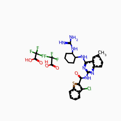 Cc1ccc2nc(NC(=O)c3sc4ccccc4c3Cl)nc(NC3CCCCC3NC(=N)N)c2c1.O=C(O)C(F)(F)F.O=C(O)C(F)(F)F